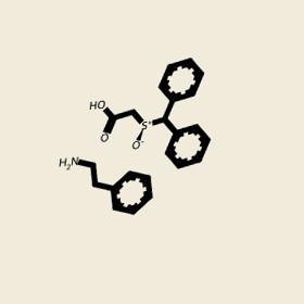 NCCc1ccccc1.O=C(O)C[S@+]([O-])C(c1ccccc1)c1ccccc1